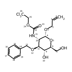 C=CCO[C@@H]1O[C@@H](CO)[C@H](O)[C@@H](OCc2ccccc2)[C@@H]1NC(=O)OCC(Cl)(Cl)Cl